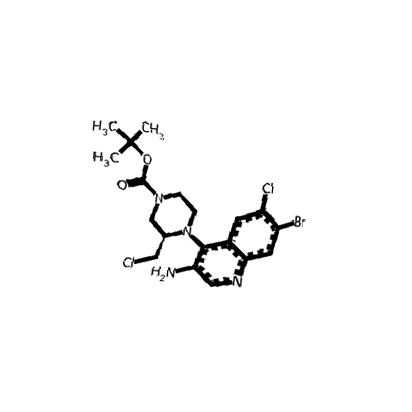 CC(C)(C)OC(=O)N1CCN(c2c(N)cnc3cc(Br)c(Cl)cc23)[C@@H](CCl)C1